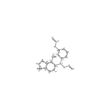 C=CCC(c1ccc[n+](CC=C)c1)c1ccc2[nH]ccc2c1O